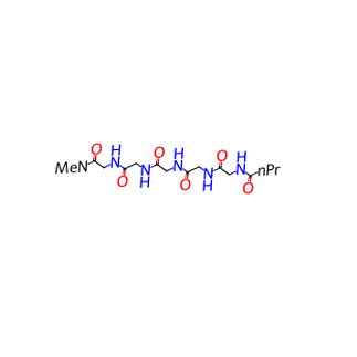 CCCC(=O)NCC(=O)NCC(=O)NCC(=O)NCC(=O)NCC(=O)NC